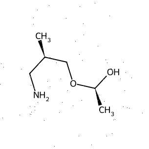 C[C@H](CN)CO[C@H](C)O